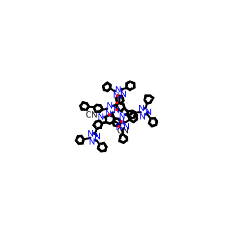 N#Cc1ccc(-c2nc(-c3ccccc3)nc(-c3ccc(-c4ccccc4C#N)cc3-n3c4ccc(-c5nc(-c6ccccc6)nc(-c6ccccc6)n5)cc4c4cc(-c5nc(-c6ccccc6)nc(-c6ccccc6)n5)ccc43)n2)c(-n2c3ccc(-c4nc(-c5ccccc5)nc(-c5ccccc5)n4)cc3c3cc(-c4nc(-c5ccccc5)nc(-c5ccccc5)n4)ccc32)c1